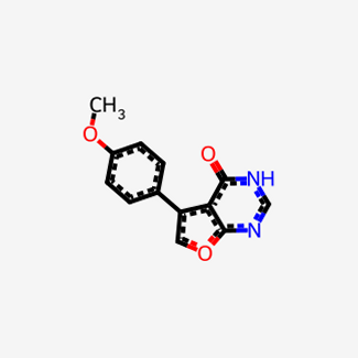 COc1ccc(-c2coc3nc[nH]c(=O)c23)cc1